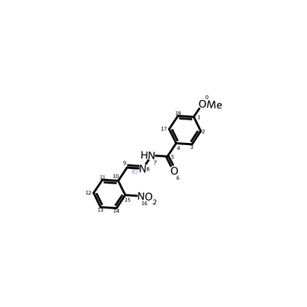 COc1ccc(C(=O)N/N=C/c2ccccc2[N+](=O)[O-])cc1